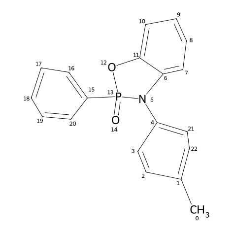 Cc1ccc(N2c3ccccc3OP2(=O)c2ccccc2)cc1